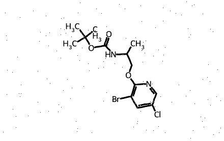 CC(COc1ncc(Cl)cc1Br)NC(=O)OC(C)(C)C